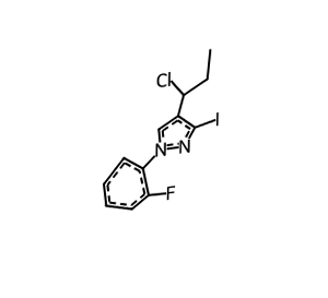 CCC(Cl)c1cn(-c2ccccc2F)nc1I